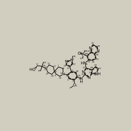 COc1cc(N2CCC3(CC2)CCN(C(C)(C)CO)CC3)c(-c2cnn(C)c2)cc1Nc1nc(Nc2ccc3nccnc3c2P(C)(C)=O)c2cc[nH]c2n1